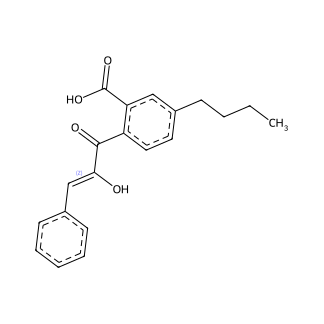 CCCCc1ccc(C(=O)/C(O)=C/c2ccccc2)c(C(=O)O)c1